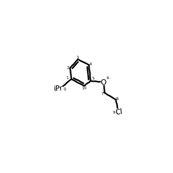 CC(C)c1cccc(OCCCl)c1